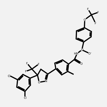 Cc1cc(C2=NOC(c3cc(Cl)cc(Cl)c3)(C(F)(F)F)C2)ccc1C(=O)N[S+]([O-])c1ccc(OC(F)(F)F)cc1